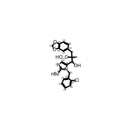 CCCCc1ncc(C(O)C(C)(Cc2ccc3c(c2)OCO3)C(=O)O)n1Cc1ccccc1Cl